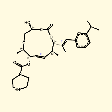 C/C(=C\c1cccc(N(C)C)c1)[C@H]1OC(=O)C[C@H](O)CC[C@H](C)[C@@H](OC(=O)N2CCNCC2)/C=C/[C@@H]1C